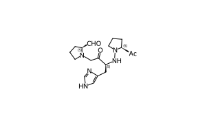 CC(=O)[C@@H]1CCCN1N[C@@H](Cc1c[nH]cn1)C(=O)CN1CCC[C@H]1C=O